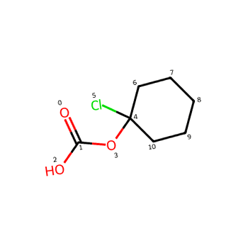 O=C(O)OC1(Cl)CCCCC1